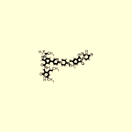 CCCc1cc(C)[nH]c(=O)c1CNC(=O)c1cc(-c2ccc(N3CCC(N(C)Cc4ccc5c(c4)C(=O)N(N4CCC(=O)NC4=O)C5=O)CC3)nc2)cc2c1cnn2C(C)C